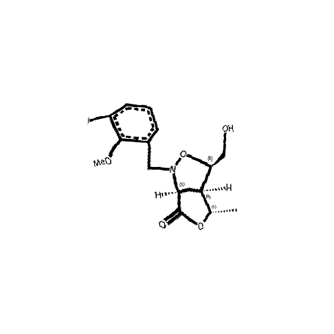 COc1c(I)cccc1CN1O[C@@H](CO)[C@H]2[C@H](C)OC(=O)[C@H]21